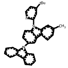 Cc1ccc2c3cc(-n4c5ccccc5c5ccccc54)ccc3n(-c3cc(C(C)(C)C)ccn3)c2c1